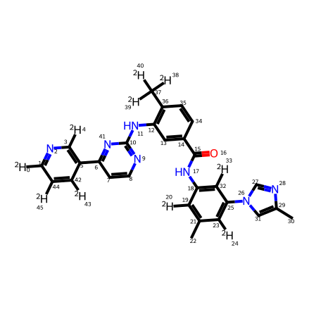 [2H]c1nc([2H])c(-c2ccnc(Nc3cc(C(=O)Nc4c([2H])c(C)c([2H])c(-n5cnc(C)c5)c4[2H])ccc3C([2H])([2H])[2H])n2)c([2H])c1[2H]